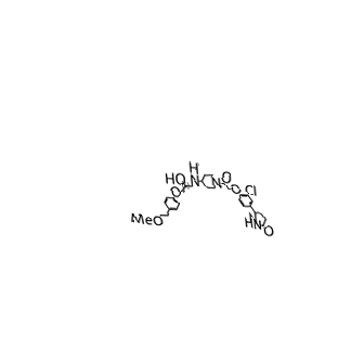 COCCc1ccc(OC[C@@H](O)CNC2CCN(C(=O)COc3ccc(C4=NNC(=O)CC4)cc3Cl)CC2)cc1